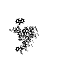 CC[C@H](C)[C@@H]([C@@H](CC(=O)N1CCC[C@H]1[C@H](OC)[C@@H](C)C(=O)N[C@H](C)[C@@H](O)c1ccccc1)OC)N(C)C(=O)[C@@H](NC(=O)[C@H](C(C)C)N(C)C(=O)C(O)c1ccc(NC(=O)[C@H](CCCNC(N)=O)NC(=O)[C@@H](NC(=O)OCC2c3ccccc3-c3ccccc32)C(C)C)cc1CCS(=O)(=O)O)C(C)C